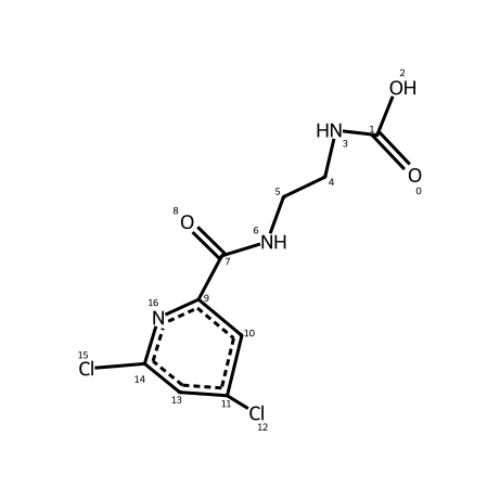 O=C(O)NCCNC(=O)c1cc(Cl)cc(Cl)n1